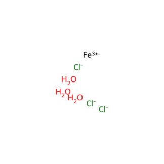 O.O.O.[Cl-].[Cl-].[Cl-].[Fe+3]